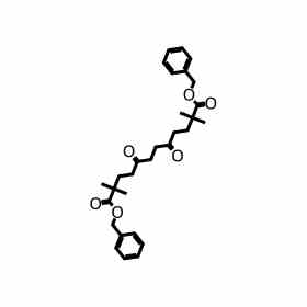 CC(C)(CCC(=O)CCC(=O)CCC(C)(C)C(=O)OCc1ccccc1)C(=O)OCc1ccccc1